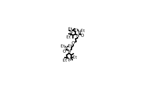 CCN(CC)C(=O)N(CCCOCCCN(C(=O)N(CC)CC)C1CC(C)(CC)N(C)C(C)(CC)C1C)C1CC(C)(CC)N(C)C(C)(CC)C1C